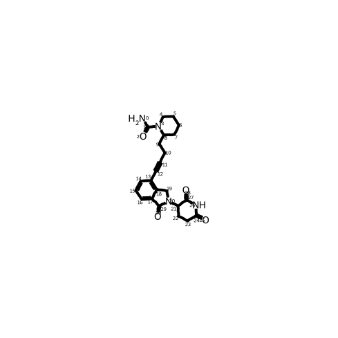 NC(=O)N1CCCCC1CCC#Cc1cccc2c1CN(C1CCC(=O)NC1=O)C2=O